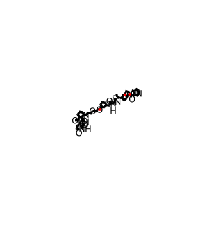 Cc1ccncc1C(=O)N1CCc2cc(-c3nc(NC(=O)Cc4cccc(OCCOCCNc5cccc6c5C(=O)N(C5CCC(=O)NC5=O)C6=O)c4)sc3C)ccc21